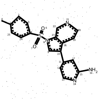 Cc1ccc(S(=O)(=O)n2cc(-c3ccnc(N)c3)c3ccncc32)cc1